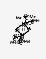 COP(=O)(CCC(CCP(=O)(OC)OC)c1cc2cc3nc(cc4[nH]c(cc5nc(cc1[nH]2)C(C)(C)C5)cc4C(CCP(=O)(OC)OC)CCP(=O)(OC)OC)C(C)(C)C3)OC